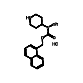 CCCN(C(=O)OCc1cccc2ccccc12)C1CCNCC1.Cl